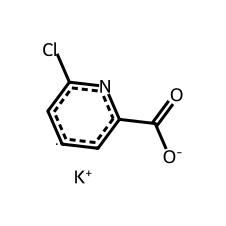 O=C([O-])c1c[c]cc(Cl)n1.[K+]